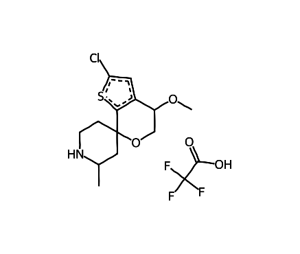 COC1COC2(CCNC(C)C2)c2sc(Cl)cc21.O=C(O)C(F)(F)F